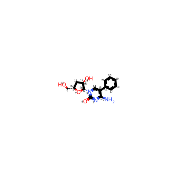 Nc1nc(=O)n([C@@H]2O[C@H](CO)C[C@H]2O)cc1-c1ccccc1